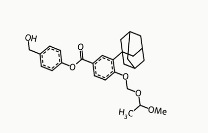 COC(C)OCOc1ccc(C(=O)Oc2ccc(CO)cc2)cc1C12CC3CC(CC(C3)C1)C2